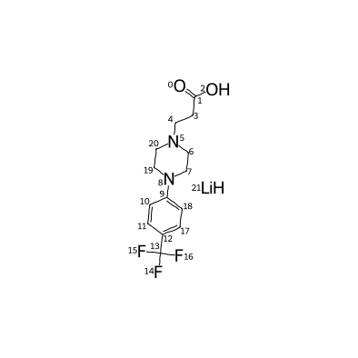 O=C(O)CCN1CCN(c2ccc(C(F)(F)F)cc2)CC1.[LiH]